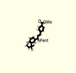 CCCCCC(C=Cc1ccc(C(=O)OC)cc1)c1ccc2c(c1)C(C)(C)CCS2